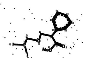 COC(=O)C(COSP(I)I)c1ccccc1